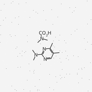 CN(C)C(=O)O.Cc1cnc(N(C)C)nc1C